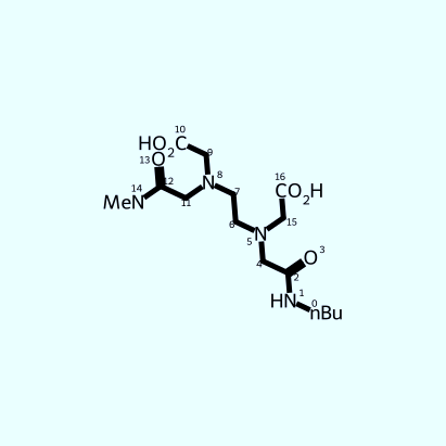 CCCCNC(=O)CN(CCN(CC(=O)O)CC(=O)NC)CC(=O)O